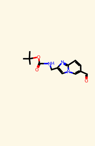 CC(C)(C)OC(=O)NCc1cn2cc(C=O)ccc2n1